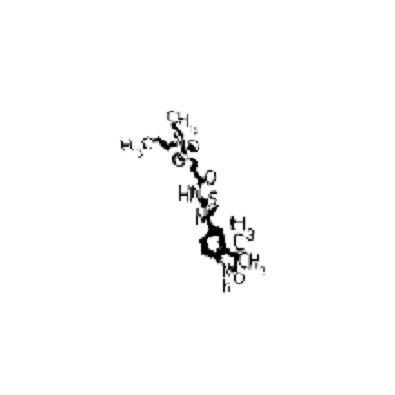 CCCN(CCC)S(=O)(=O)CCC(=O)Nc1nc(-c2ccc3c(c2)C(C)(C)C(=O)N3)cs1